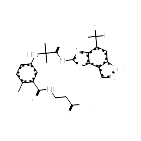 Cc1ccc(NC(C)(C)C(=O)Nc2nc3c(C(F)(F)F)cc4[nH]ncc4c3s2)cc1C(=O)NCCC(=O)O